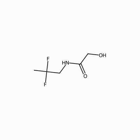 CC(F)(F)CNC(=O)CO